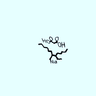 CCCCCCC([CH2][Na])C(CC)CCCCC.O=C(O)CC(=O)O